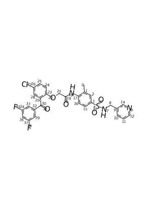 Cc1cc(S(=O)(=O)NCc2cccnc2)ccc1NC(=O)COc1ccc(Cl)cc1C(=O)c1cc(F)cc(F)c1